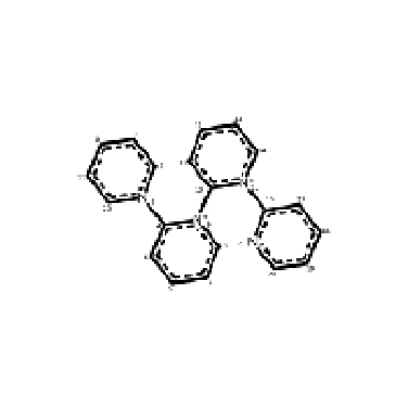 c1cc[n+](-c2cccc[n+]2-c2cccc[n+]2-c2ccccn2)cc1